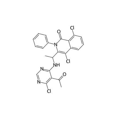 CC(=O)c1c(Cl)ncnc1NC(C)c1c(Cl)c2cccc(Cl)c2c(=O)n1-c1ccccc1